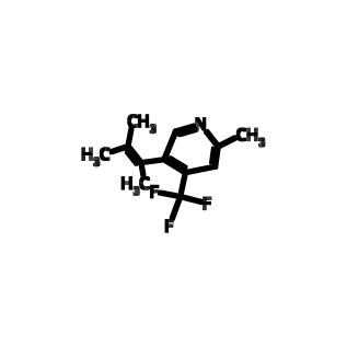 CC(C)=C(C)c1cnc(C)cc1C(F)(F)F